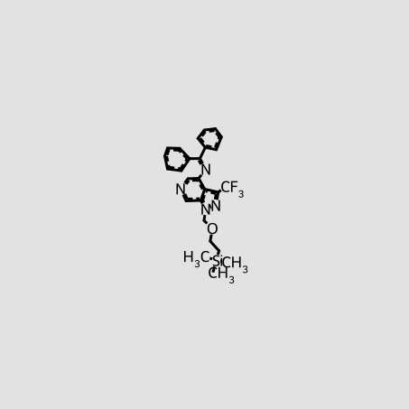 C[Si](C)(C)CCOCn1nc(C(F)(F)F)c2c(N=C(c3ccccc3)c3ccccc3)cncc21